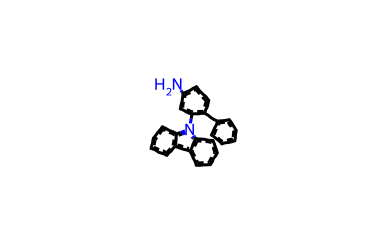 Nc1ccc(-c2ccccc2)c(-n2c3ccccc3c3ccccc32)c1